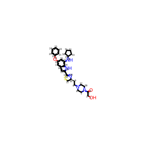 O=C(CO)N1CCN(CC[C@H]2CSC(c3cc4cc(Oc5ccccc5)cc(NC5CCCC5)c4[nH]3)=N2)CC1